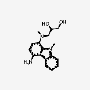 CN(CC(O)CO)c1ccc(N)c2c3ccccc3n(C)c12